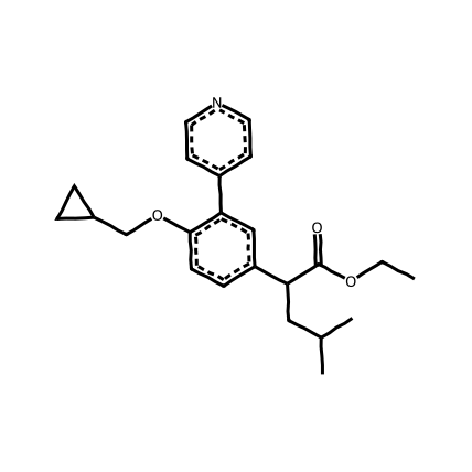 CCOC(=O)C(CC(C)C)c1ccc(OCC2CC2)c(-c2ccncc2)c1